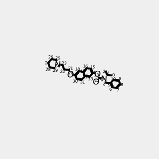 CC(C)N(Cc1ccccc1)C(=O)Oc1ccc2cc(OCCCN3CCCCC3)ccc2c1